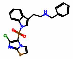 O=S(=O)(c1c(Cl)nc2sccn12)n1cc(CCNCc2ccccc2)c2ccccc21